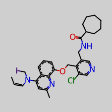 C/C=C\N(CI)c1cc(C)nc2c(OCc3c(Cl)cncc3CNC(=O)C3CCCCCC3)cccc12